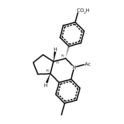 CC(=O)N1c2ccc(C)cc2[C@@H]2CCC[C@@H]2[C@@H]1c1ccc(C(=O)O)cc1